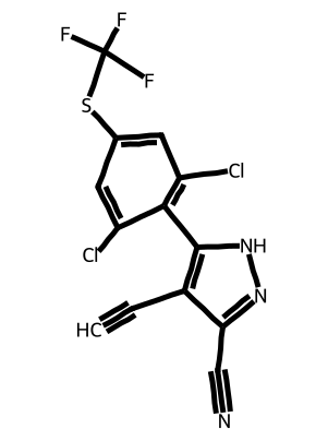 C#Cc1c(C#N)n[nH]c1-c1c(Cl)cc(SC(F)(F)F)cc1Cl